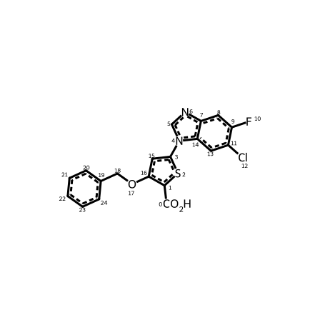 O=C(O)c1sc(-n2cnc3cc(F)c(Cl)cc32)cc1OCc1ccccc1